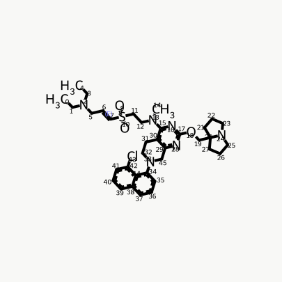 CCN(CC)C/C=C/S(=O)(=O)CCN(C)c1nc(OCC23CCCN2CCC3)nc2c1CCN(c1cccc3cccc(Cl)c13)C2